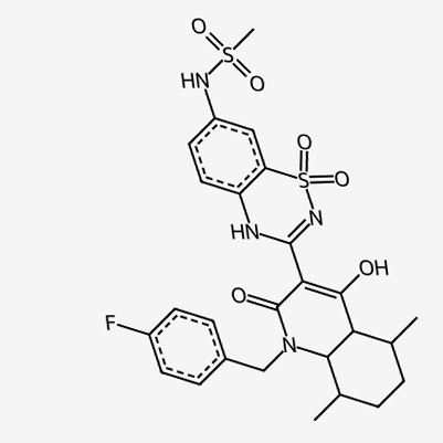 CC1CCC(C)C2C1C(O)=C(C1=NS(=O)(=O)c3cc(NS(C)(=O)=O)ccc3N1)C(=O)N2Cc1ccc(F)cc1